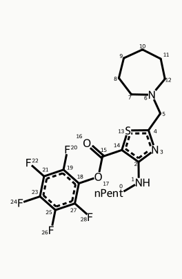 CCCCCNc1nc(CN2CCCCCC2)sc1C(=O)Oc1c(F)c(F)c(F)c(F)c1F